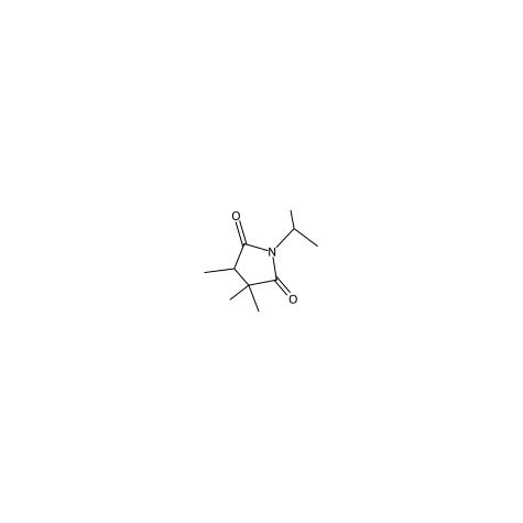 CC(C)N1C(=O)C(C)C(C)(C)C1=O